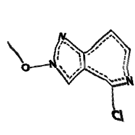 COn1cc2c(Cl)nccc2n1